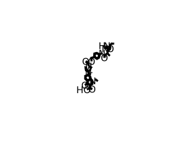 CCc1nnc(C(C)C(=O)Nc2ccc(COC(=O)N3CCN(c4ccc5c(=O)c(C(=O)O)cn(CC)c5c4)CC3)cc2)o1